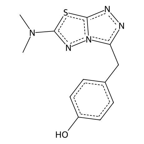 CN(C)c1nn2c(Cc3ccc(O)cc3)nnc2s1